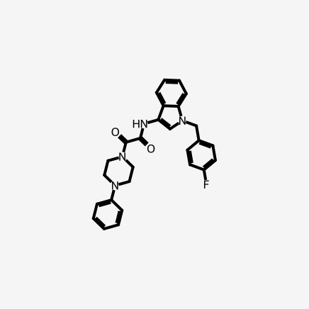 O=C(Nc1cn(Cc2ccc(F)cc2)c2ccccc12)C(=O)N1CCN(c2ccccc2)CC1